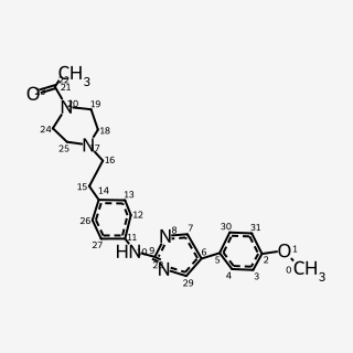 COc1ccc(-c2cnc(Nc3ccc(CCN4CCN(C(C)=O)CC4)cc3)nc2)cc1